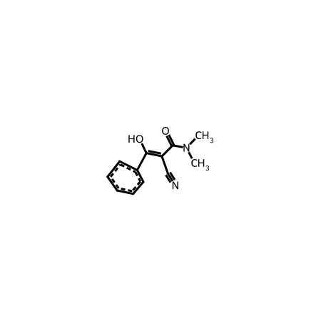 CN(C)C(=O)/C(C#N)=C(\O)c1ccccc1